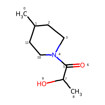 CC1CCN(C(=O)C(C)O)CC1